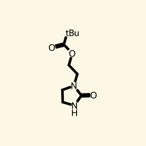 CC(C)(C)C(=O)OCCN1CCNC1=O